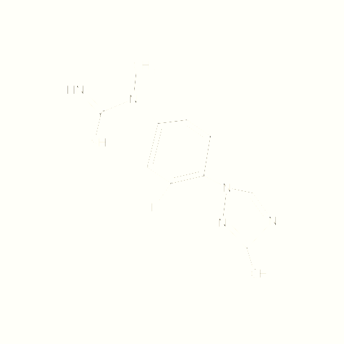 Cc1ncn(-c2ccc(N(C)C(=N)S)cc2F)n1